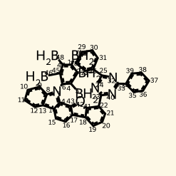 Bc1c(B)c(B)c(-n2c3ccccc3c3ccc4c5cccc(-c6nc(-c7ccccc7)nc(-c7ccccc7)n6)c5oc4c32)c(B)c1B